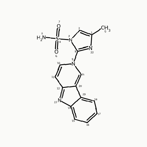 Cc1cn(S(N)(=O)=O)c(-n2ccc3nc4ccccc4c-3c2)n1